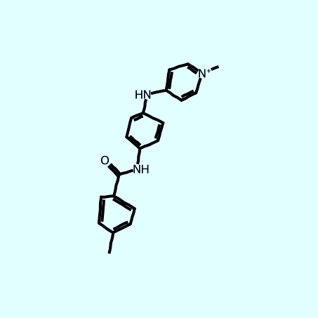 Cc1ccc(C(=O)Nc2ccc(Nc3cc[n+](C)cc3)cc2)cc1